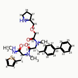 CNC(=O)[C@@H](Cc1cccs1)N(C)C(=O)[C@@H](Cc1ccc(-c2ccccc2)cc1)N(C)C(=O)COCC1CCCN1